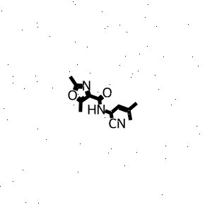 CC(C)=CC(C#N)NC(=O)c1nc(C)oc1C